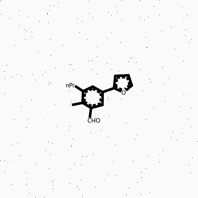 CCCc1cc(-c2ccco2)cc(C=O)c1C